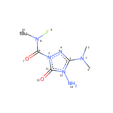 CN(C)c1nn(C(=O)N(F)C(C)(C)C)c(=O)n1N